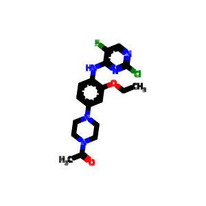 CCOc1cc(N2CCN(C(C)=O)CC2)ccc1Nc1nc(Cl)ncc1F